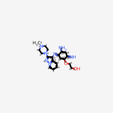 CN1CCN(c2nn3ccccc3c2/N=C2\C=C(OCCO)C(=N)C=C2N)CC1